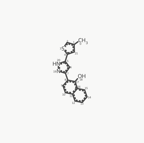 Cc1csc(-c2cc(-c3ccc4ccccc4c3O)n[nH]2)c1